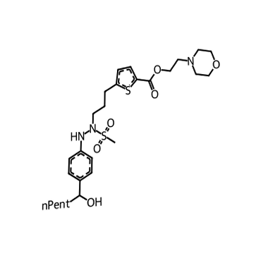 CCCCCC(O)c1ccc(NN(CCCc2ccc(C(=O)OCCN3CCOCC3)s2)S(C)(=O)=O)cc1